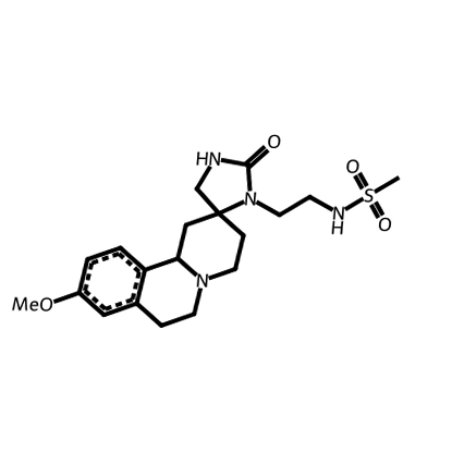 COc1ccc2c(c1)CCN1CCC3(CNC(=O)N3CCNS(C)(=O)=O)CC21